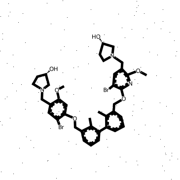 COc1cc(OCc2cccc(-c3cccc(COc4nc(OC)c(CN5CC[C@H](O)C5)cc4Br)c3C)c2C)c(Br)cc1CN1CC[C@H](O)C1